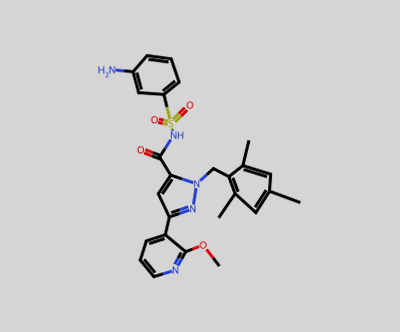 COc1ncccc1-c1cc(C(=O)NS(=O)(=O)c2cccc(N)c2)n(Cc2c(C)cc(C)cc2C)n1